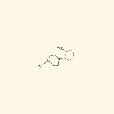 CC1CCCCC1N1CCN(C)CC1